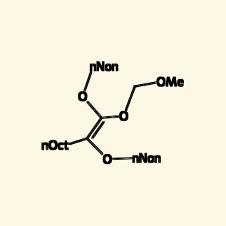 CCCCCCCCCOC(CCCCCCCC)=C(OCCCCCCCCC)OCOC